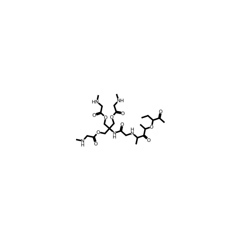 CCC(OC(C)C(=O)C(C)NCC(=O)NC(COC(=O)CNC)(COC(=O)CNC)COC(=O)CNC)C(C)=O